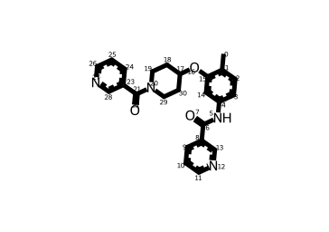 Cc1ccc(NC(=O)c2cccnc2)cc1OC1CCN(C(=O)c2cccnc2)CC1